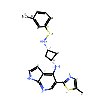 Cc1cnc(-c2cnc3[nH]ccc3c2N[C@H]2C[C@@H](NSc3cccc(C#N)c3)C2)s1